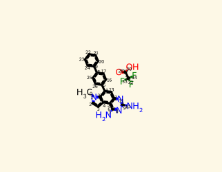 Cn1ccc2c3c(N)nc(N)nc3cc(-c3ccc(-c4ccccc4)cc3)c21.O=C(O)C(F)(F)F